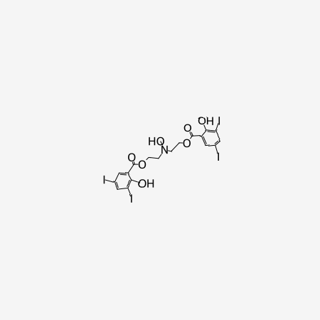 O=C(OCCN(O)CCOC(=O)c1cc(I)cc(I)c1O)c1cc(I)cc(I)c1O